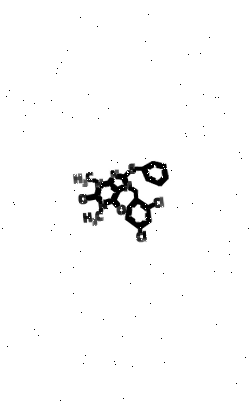 Cn1c(=O)c2c(nc(Sc3ccccc3)n2Cc2ccc(Cl)cc2Cl)n(C)c1=O